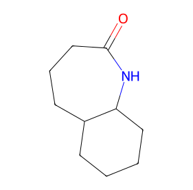 O=C1CCCC2CCCCC2N1